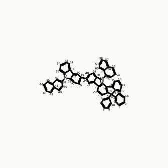 c1ccc(C2(c3ccccc3)c3ccccc3-c3c2ccc2c4cc(-c5ccc6c(c5)c5ccccc5n6-c5ccc6ccccc6c5)ccc4n(-c4cccc5ccccc45)c32)cc1